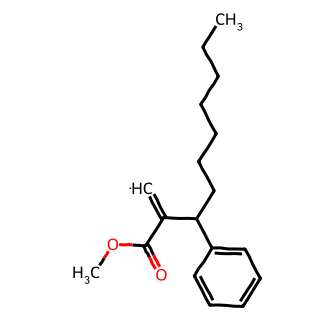 [CH]=C(C(=O)OC)C(CCCCCCC)c1ccccc1